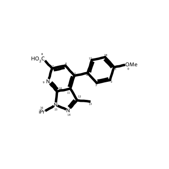 COc1ccc(-c2cc(C(=O)O)nc3c2c(C)nn3C(C)C)cc1